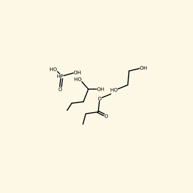 CCC(=O)OC.CCCC(O)O.O=[PH](O)O.OCCO